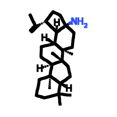 C=C(C)[C@@H]1CC[C@]2(N)CC[C@]3(C)[C@H](CC[C@@H]4[C@]5(C)CC[CH]C(C)(C)[C@H]5CC[C@]43C)[C@@H]12